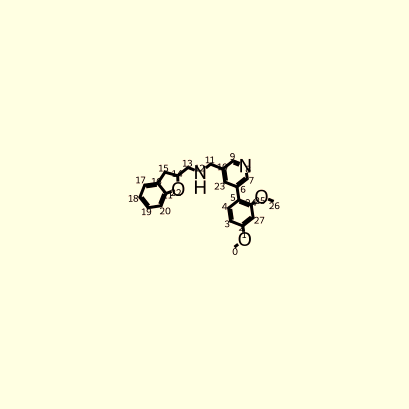 COc1ccc(-c2cncc(CNCC3Cc4ccccc4O3)c2)c(OC)c1